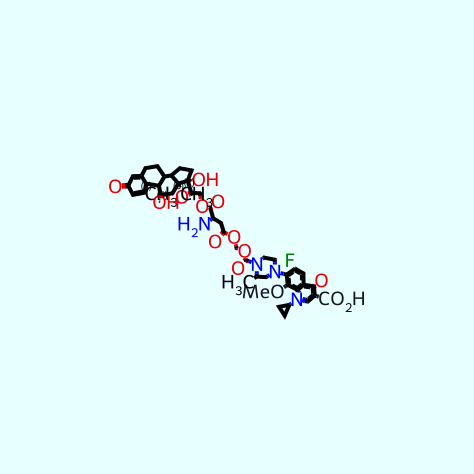 COc1c(N2CCN(C(=O)OCOC(=O)CC(N)C(=O)OCC(=O)[C@@]3(O)CCC4C5CCC6=CC(=O)C=C[C@]6(C)C5[C@@H](O)C[C@@]43C)C(C)C2)c(F)cc2c(=O)c(C(=O)O)cn(C3CC3)c12